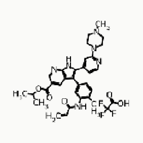 C=CC(=O)Nc1cc(-c2c(-c3ccnc(N4CCN(C)CC4)c3)[nH]c3ncc(C(=O)OC(C)C)cc23)ccc1C.O=C(O)C(F)(F)F